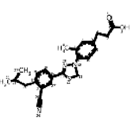 Cc1cc(CCC(=O)O)ccc1N1CSC(c2ccc(CC(C)C)c(C#N)c2)=N1